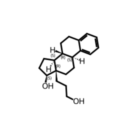 OCCC[C@]12CC[C@@H]3c4ccccc4CC[C@H]3[C@@H]1CC[C@@H]2O